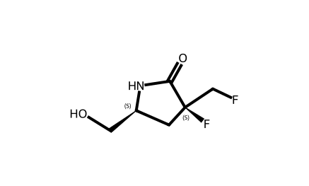 O=C1N[C@H](CO)C[C@@]1(F)CF